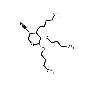 CCCCO[C@@H]1OC[C@@H](C#N)[C@@H](OCCCC)[C@@H]1OCCCC